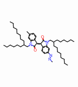 CCCCCCCCC(CCCCCC)CN1C(=O)/C(=C2/C(=O)N(CC(CCCCCC)CCCCCCCC)c3cc(/N=N/C)ccc32)c2ccc(C)cc21